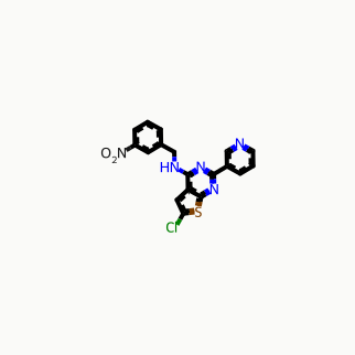 O=[N+]([O-])c1cccc(CNc2nc(-c3cccnc3)nc3sc(Cl)cc23)c1